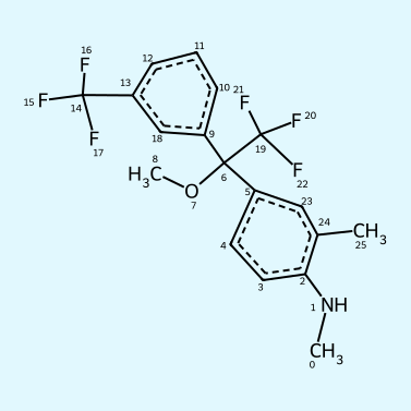 CNc1ccc(C(OC)(c2cccc(C(F)(F)F)c2)C(F)(F)F)cc1C